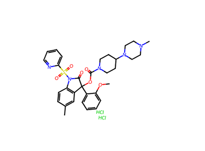 COc1ccccc1C1(OC(=O)N2CCC(N3CCN(C)CC3)CC2)C(=O)N(S(=O)(=O)c2ccccn2)c2ccc(C)cc21.Cl.Cl